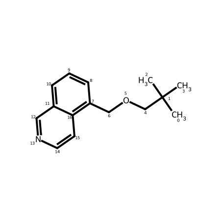 CC(C)(C)COCc1cccc2cnccc12